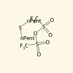 CCCCCSCCCCC.O=S(=O)(OS(=O)(=O)C(F)(F)F)C(F)(F)F